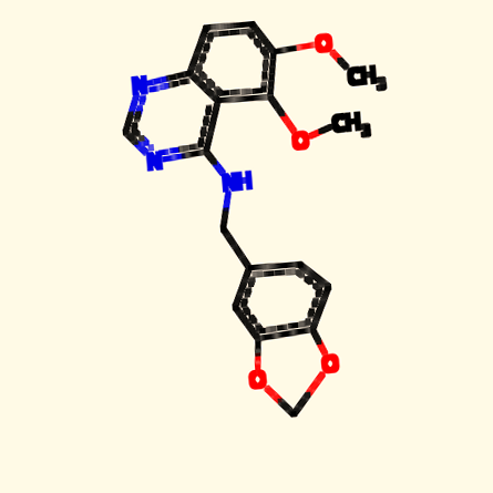 COc1ccc2ncnc(NCc3ccc4c(c3)OCO4)c2c1OC